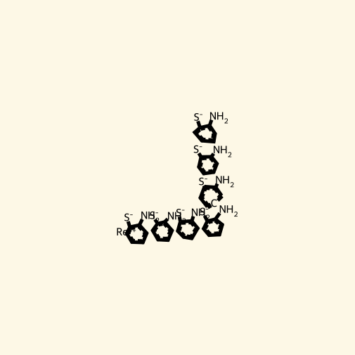 Nc1ccccc1[S-].Nc1ccccc1[S-].Nc1ccccc1[S-].Nc1ccccc1[S-].Nc1ccccc1[S-].Nc1ccccc1[S-].Nc1ccccc1[S-].[Re+7]